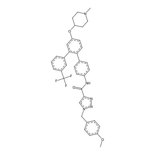 COc1ccc(Cn2cc(C(=O)Nc3ccc(-c4ccc(OC5CCN(C)CC5)cc4-c4cccc(C(F)(F)F)c4)cc3)nn2)cc1